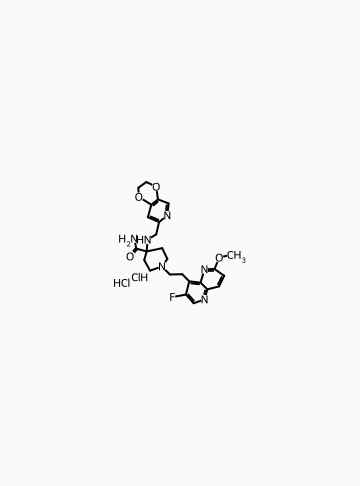 COc1ccc2ncc(F)c(CCN3CCC(NCc4cc5c(cn4)OCCO5)(C(N)=O)CC3)c2n1.Cl.Cl